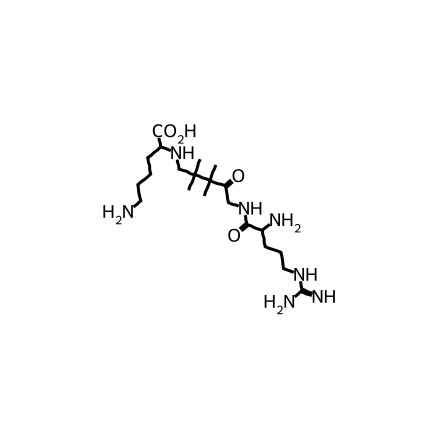 CC(C)(CNC(CCCCN)C(=O)O)C(C)(C)C(=O)CNC(=O)C(N)CCCNC(=N)N